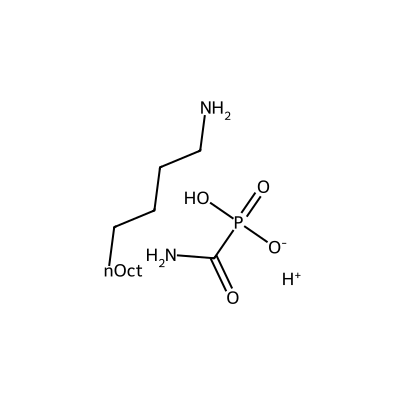 CCCCCCCCCCCCN.NC(=O)P(=O)([O-])O.[H+]